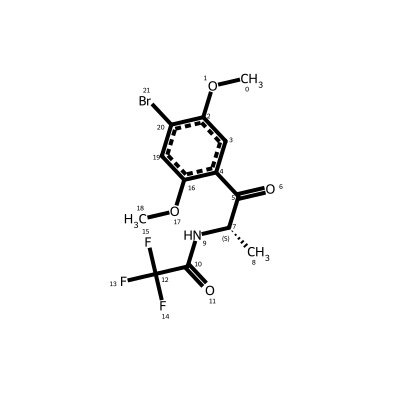 COc1cc(C(=O)[C@H](C)NC(=O)C(F)(F)F)c(OC)cc1Br